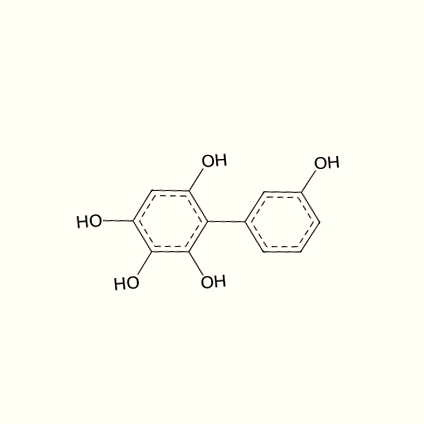 Oc1cccc(-c2c(O)cc(O)c(O)c2O)c1